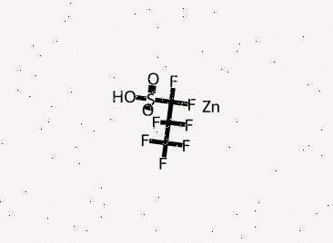 O=S(=O)(O)C(F)(F)C(F)(F)C(F)(F)F.[Zn]